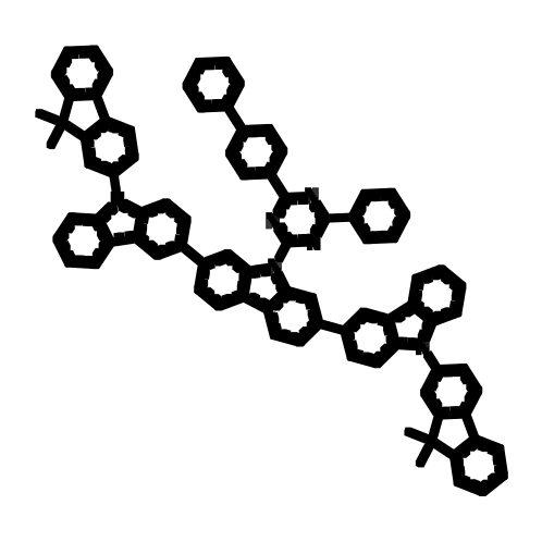 CC1(C)c2ccccc2-c2ccc(-n3c4ccccc4c4cc(-c5ccc6c7ccc(-c8ccc9c(c8)c8ccccc8n9-c8ccc9c(c8)C(C)(C)c8ccccc8-9)cc7n(-c7nc(-c8ccccc8)nc(-c8ccc(-c9ccccc9)cc8)n7)c6c5)ccc43)cc21